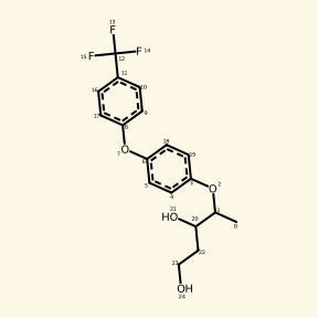 CC(Oc1ccc(Oc2ccc(C(F)(F)F)cc2)cc1)C(O)CCO